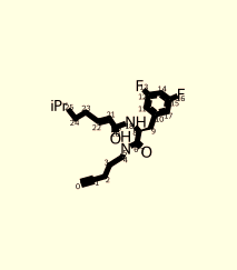 C#CCCCNC(=O)[C@H](Cc1cc(F)cc(F)c1)NC(=O)/C=C/CCC(C)C